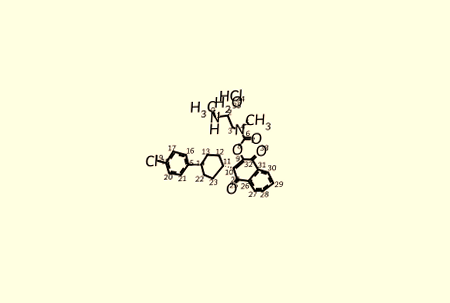 CNCCN(C)C(=O)OC1=C([C@H]2CC[C@H](c3ccc(Cl)cc3)CC2)C(=O)c2ccccc2C1=O.Cl.O